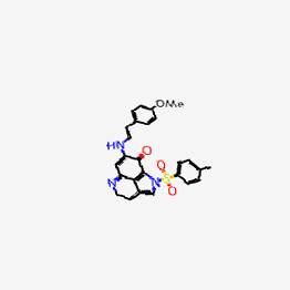 COc1ccc(CCNC2=CC3=NCCc4cn(S(=O)(=O)c5ccc(C)cc5)c(c43)C2=O)cc1